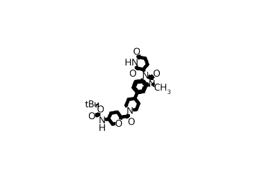 Cn1c(=O)n(C2CCC(=O)NC2=O)c2ccc(C3CCN(C(=O)C4CCC(NC(=O)OC(C)(C)C)CO4)CC3)cc21